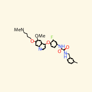 CNCCCCOc1cc2nccc(Oc3ccc(NC(=O)C(=O)NCc4cccc(C)c4)cc3F)c2cc1OC